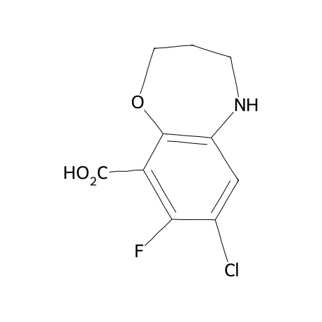 O=C(O)c1c(F)c(Cl)cc2c1OCCCN2